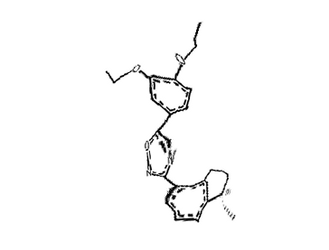 CCOc1ccc(-c2nc(-c3cccc4c3CC[C@@H]4C)no2)cc1OCC